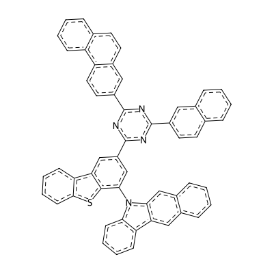 c1ccc2cc(-c3nc(-c4ccc5c(ccc6ccccc65)c4)nc(-c4cc(-n5c6ccccc6c6cc7ccccc7cc65)c5sc6ccccc6c5c4)n3)ccc2c1